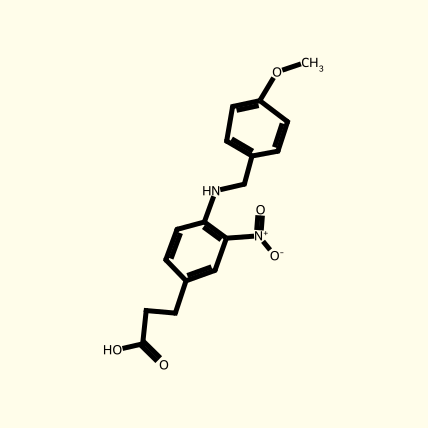 COc1ccc(CNc2ccc(CCC(=O)O)cc2[N+](=O)[O-])cc1